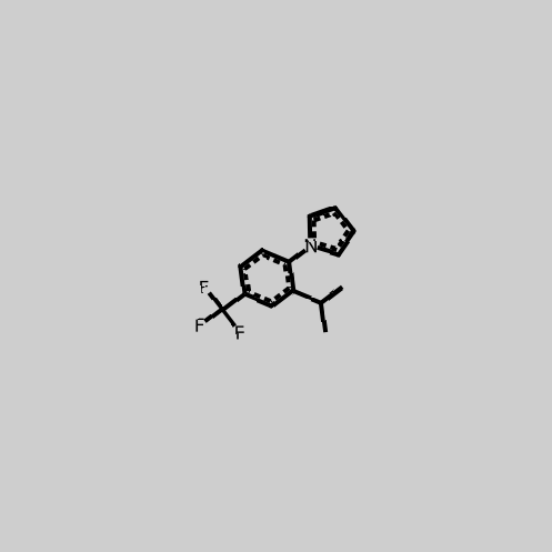 CC(C)c1cc(C(F)(F)F)ccc1-n1cccc1